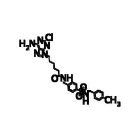 Cc1ccc(CNS(=O)(=O)c2ccc(CNC(=O)CCCCCn3cnc4c(N)nc(Cl)nc43)cc2)cc1